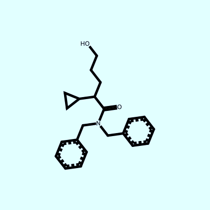 O=C(C(CCCO)C1CC1)N(Cc1ccccc1)Cc1ccccc1